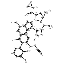 CSc1nc2c(F)c(-c3cccc(Cl)c3Cl)c(CCC#N)cc2c2c1cc([C@H]1CC3C([C@@H]3C)N1C(=O)C1(C)CC1)n2[C@H]1[C@@H](CN)C[C@@H]1C